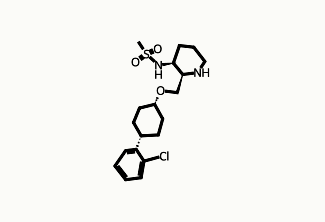 CS(=O)(=O)N[C@H]1CCCN[C@H]1CO[C@H]1CC[C@@H](c2ccccc2Cl)CC1